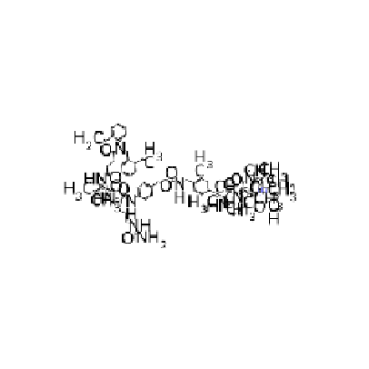 C=Cc1ccccc1N(Cc1ccccc1CC)C(=O)CCC(=O)N[C@H](C(=O)N[C@@H](CCCNC(N)=O)C(=O)Nc1ccc(COC(=O)NCc2ccc(C(C)(C)C(NC)C(=O)N[C@H](C(=O)N(C)[C@H](/C=C(\C)C(=O)O)C(C)C)C(C)(C)C)cc2C)cc1)C(C)C